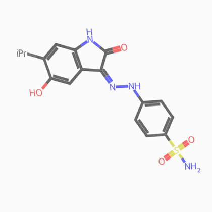 CC(C)c1cc2c(cc1O)C(=NNc1ccc(S(N)(=O)=O)cc1)C(=O)N2